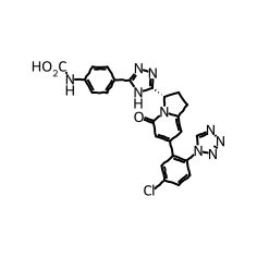 O=C(O)Nc1ccc(-c2nnc([C@@H]3CCc4cc(-c5cc(Cl)ccc5-n5cnnn5)cc(=O)n43)[nH]2)cc1